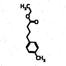 CCOC(=O)CCCc1ccc(C)cc1